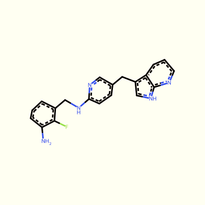 Nc1cccc(CNc2ccc(Cc3c[nH]c4ncccc34)cn2)c1F